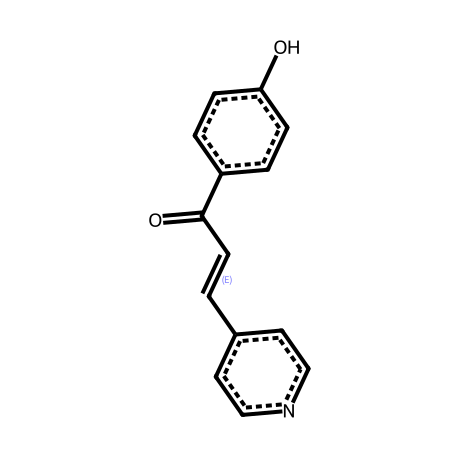 O=C(/C=C/c1ccncc1)c1ccc(O)cc1